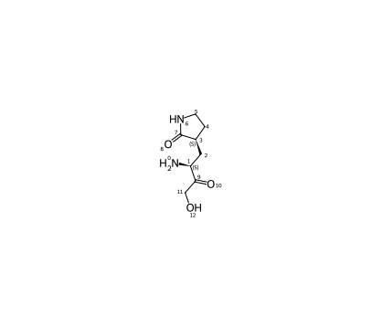 N[C@@H](C[C@@H]1CCNC1=O)C(=O)CO